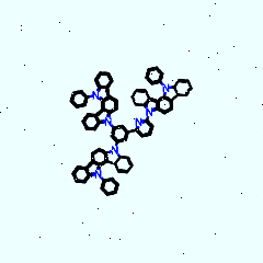 C1=CC2c3c(ccc4c5ccccc5n(-c5ccccc5)c34)N(c3cc(-c4cccc(-n5c6c(c7c8c(ccc75)C5C=CC=CC5N8c5ccccc5)C=CCC6)n4)cc(-n4c5ccccc5c5c4ccc4c6ccccc6n(-c6ccccc6)c45)c3)C2C=C1